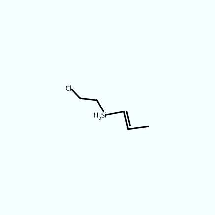 CC=C[SiH2]CCCl